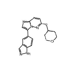 c1cc2[nH]ncc2cc1-c1cnc2ccc(OC3CCOCC3)nn12